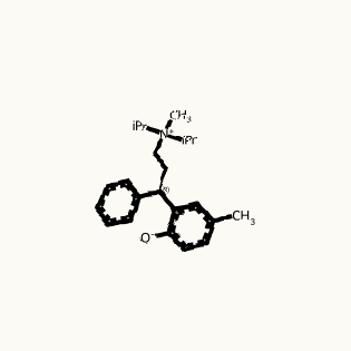 Cc1ccc([O-])c([C@H](CC[N+](C)(C(C)C)C(C)C)c2ccccc2)c1